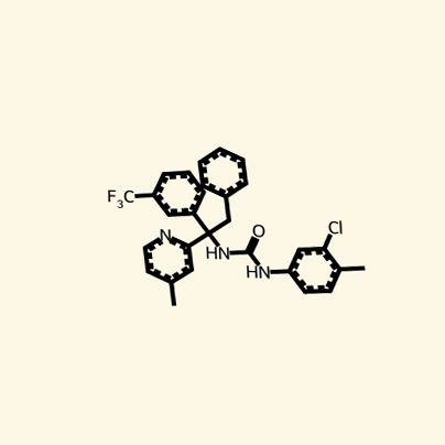 Cc1ccnc(C(Cc2ccccc2)(NC(=O)Nc2ccc(C)c(Cl)c2)c2cccc(C(F)(F)F)c2)c1